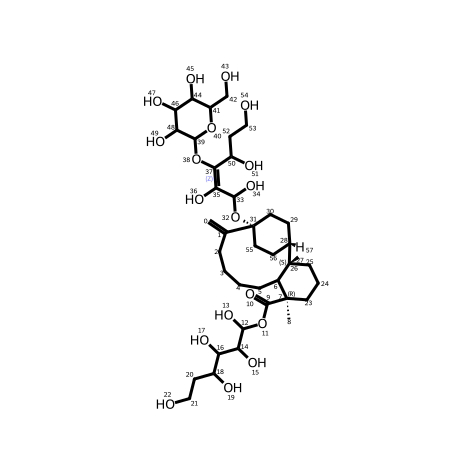 C=C1CCCCC2[C@](C)(C(=O)OC(O)C(O)C(O)C(O)CCO)CCC[C@@]2(C)[C@H]2CC[C@@]1(OC(O)/C(O)=C(/OC1OC(CO)C(O)C(O)C1O)C(O)CCO)CC2